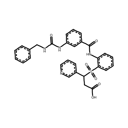 O=C(O)CC(c1cccnc1)S(=O)(=O)c1ccccc1NC(=O)c1cccc(NC(=O)NCc2ccccc2)c1